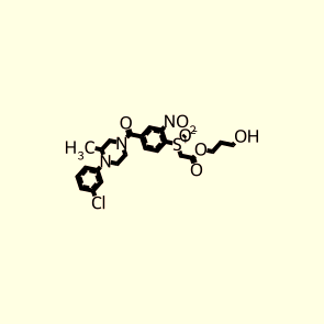 CC1CN(C(=O)c2ccc([S+]([O-])CC(=O)OCCCO)c([N+](=O)[O-])c2)CCN1c1cccc(Cl)c1